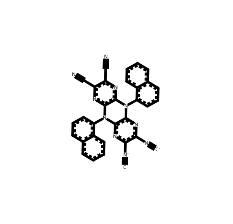 [C-]#[N+]c1nc2c(nc1[N+]#[C-])N(c1cccc3ccccc13)c1nc(C#N)c(C#N)nc1N2c1cccc2ccccc12